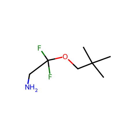 CC(C)(C)COC(F)(F)CN